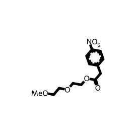 COCCOCCOC(=O)Cc1ccc([N+](=O)[O-])cc1